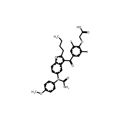 CCCCc1oc2ccc(N(C(N)=O)c3ccc(OC)cc3)cc2c1C(=O)c1cc(I)c(OCC(=O)O)c(I)c1